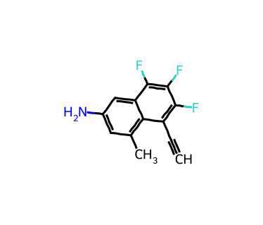 C#Cc1c(F)c(F)c(F)c2cc(N)cc(C)c12